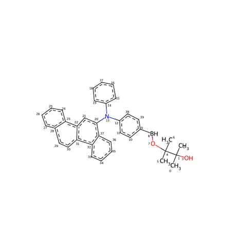 CC(C)(O)C(C)(C)OBc1ccc(N(c2ccccc2)c2cc3c4ccccc4ccc3c3ccccc23)cc1